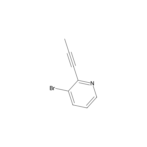 CC#Cc1ncccc1Br